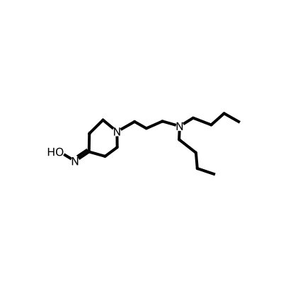 CCCCN(CCCC)CCCN1CCC(=NO)CC1